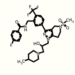 CC1CCN(CC(O)Cn2nc(-c3ccc(C(F)(F)F)c(CNC(=O)c4ccc(F)cc4)c3)c3c2CCN(S(C)(=O)=O)C3)CC1